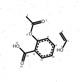 C=CO.CC(=O)Oc1ccccc1C(=O)O